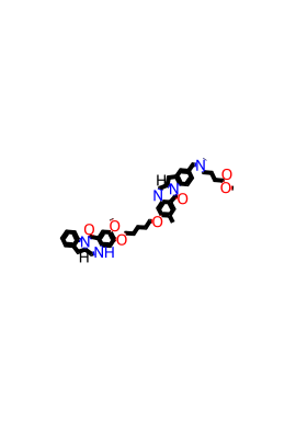 COC(=O)CCCN(C)Cc1ccc2c(c1)C[C@H]1C=Nc3cc(OCCCCCOc4cc5c(cc4OC)C(=O)N4c6ccccc6C[C@H]4CN5)c(C)cc3C(=O)N21